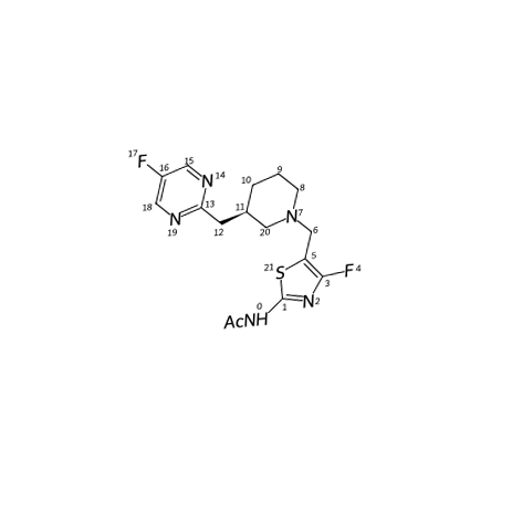 CC(=O)Nc1nc(F)c(CN2CCC[C@H](Cc3ncc(F)cn3)C2)s1